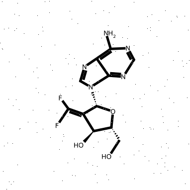 Nc1ncnc2c1ncn2[C@@H]1O[C@H](CO)[C@@H](O)C1=C(F)F